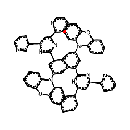 c1ccc(-c2cc(-c3cccnc3)nc(-c3cc(N4c5ccccc5Oc5ccccc54)cc4c(-c5nc(-c6cccnc6)cc(-c6ccccn6)n5)cc(N5c6ccccc6Oc6ccccc65)cc34)n2)nc1